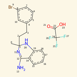 CC1(CCc2cccc(Br)c2)N=C(N)c2ccccc2N1.O=C(O)C(F)(F)F